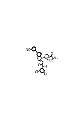 CCN(CC)C(=O)N1CCC(C2c3ccc(-c4cccc(C#N)c4)cc3CCN2CC(=O)Nc2cc(Cl)cc(Cl)c2)CC1